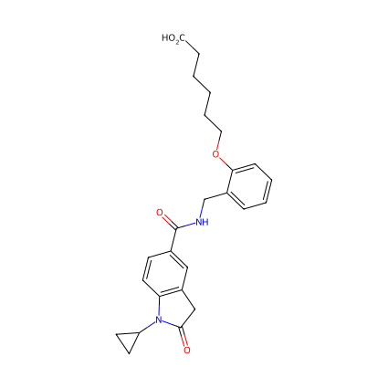 O=C(O)CCCCCOc1ccccc1CNC(=O)c1ccc2c(c1)CC(=O)N2C1CC1